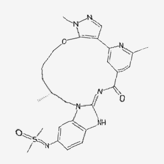 Cc1cc2cc(n1)-c1cnn(C)c1OCCC[C@@H](C)CN1/C(=N/C2=O)Nc2ccc(N=S(C)(C)=O)cc21